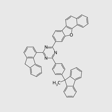 CC1(c2ccc(-c3nc(-c4ccc5c(c4)oc4c6ccccc6ccc54)nc(-c4cccc5c4-c4ccccc4C5)n3)cc2)c2ccccc2-c2ccccc21